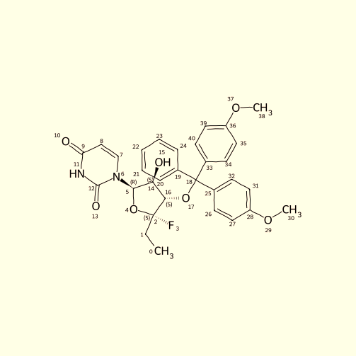 CC[C@@]1(F)O[C@@H](n2ccc(=O)[nH]c2=O)[C@@H](O)[C@@H]1OC(c1ccccc1)(c1ccc(OC)cc1)c1ccc(OC)cc1